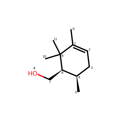 CC1=CC[C@@H](C)[C@@H](CO)C1(C)C